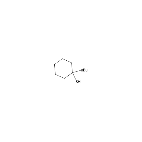 CCCCC1(S)CCCCC1